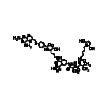 CC(C)[C@H](NC(=O)CCCCCN1C(O)C=CC1O)C(=O)N[C@@H](C)C(=O)Nc1ccc(C(=O)NCCC[C@H](NC(=O)c2ccc(SCc3cnc4nc(N)nc(N)c4n3)cc2)C(=O)O)c(-c2nn[nH]n2)c1